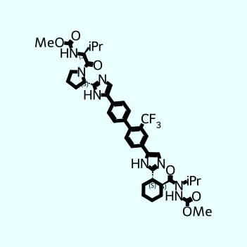 COC(=O)N[C@H](C(=O)N1CCC[C@H]1c1ncc(-c2ccc(-c3ccc(-c4cnc([C@H]5CCCC[C@@H]5C(=O)N(NC(=O)OC)C(C)C)[nH]4)cc3C(F)(F)F)cc2)[nH]1)C(C)C